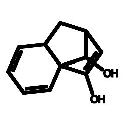 OC1=CC2CC3C=CC=CC13C2O